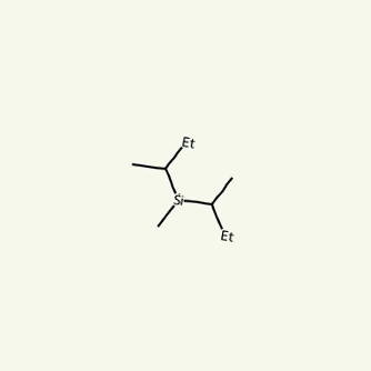 CCC(C)[Si](C)C(C)CC